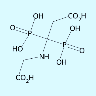 O=C(O)CNC(CC(=O)O)(P(=O)(O)O)P(=O)(O)O